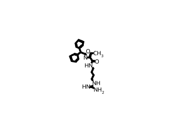 Cc1oc(C(c2ccccc2)c2ccccc2)nc1C(=O)NCCCCNC(=N)N